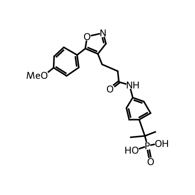 COc1ccc(-c2oncc2CCC(=O)Nc2ccc(C(C)(C)P(=O)(O)O)cc2)cc1